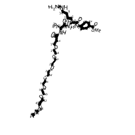 COC(=O)c1ccc(NC(=O)[C@H](CCCCNN)NC(=O)[C@@H](NC(=O)CCOCCOCCOCCOCCOCCOCCN=[N+]=[N-])C(C)C)cc1